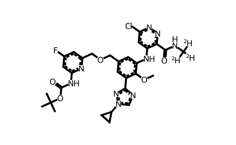 [2H]C([2H])([2H])NC(=O)c1nnc(Cl)cc1Nc1cc(COCc2cc(F)cc(NC(=O)OC(C)(C)C)n2)cc(-c2ncn(C3CC3)n2)c1OC